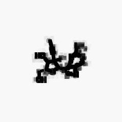 CC#C[C@@]1(F)C(O)[C@@H](CO)O[C@H]1n1cnc2cnc(N)nc21